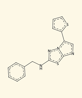 c1ccc(CNc2nn3c(-c4cccs4)cnc3s2)cc1